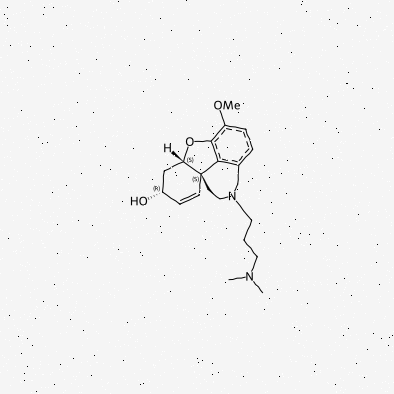 COc1ccc2c3c1O[C@H]1C[C@@H](O)C=C[C@@]31CCN(CCCN(C)C)C2